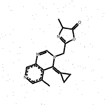 Cc1cncc2c1C(=C1CC1)N(CC1=NC(C)C(=O)O1)C=N2